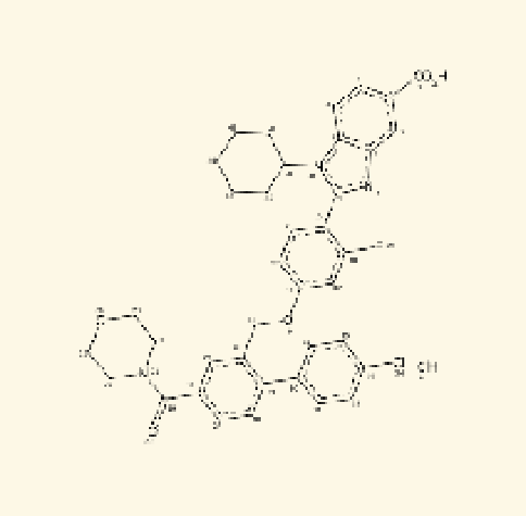 Cl.O=C(O)c1ccc2c(c1)nc(-c1ccc(OCc3cc(C(=O)N4CCOCC4)ccc3-c3ccc(Cl)cc3)cc1F)n2C1CCCCC1